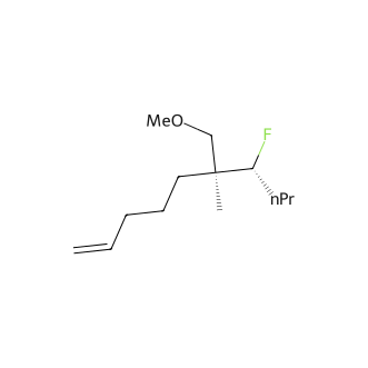 C=CCCC[C@@](C)(COC)[C@H](F)CCC